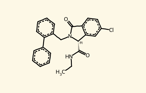 CCNC(=O)[C@H]1c2cc(Cl)ccc2C(=O)N1Cc1ccccc1-c1ccccc1